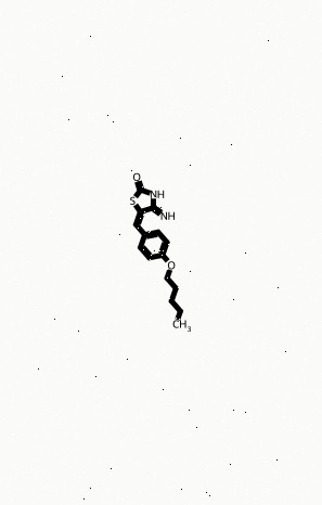 CCCCCOc1ccc(C=C2SC(=O)NC2=N)cc1